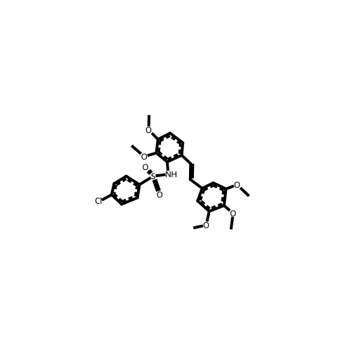 COc1cc(C=Cc2ccc(OC)c(OC)c2NS(=O)(=O)c2ccc(Cl)cc2)cc(OC)c1OC